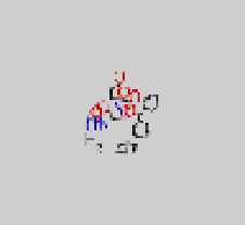 CC(=O)N[C@H]1CON(C2(C(=O)OC(c3ccccc3)c3ccccc3)CCC(=O)O2)C1=O.c1cc2ccc1-2